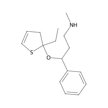 CCC1(OC(CCNC)c2ccccc2)CC=CS1